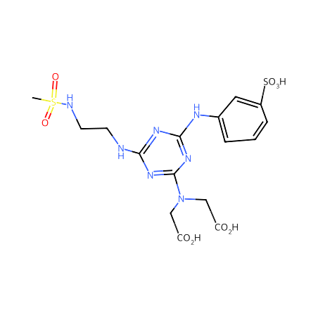 CS(=O)(=O)NCCNc1nc(Nc2cccc(S(=O)(=O)O)c2)nc(N(CC(=O)O)CC(=O)O)n1